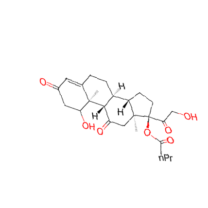 CCCC(=O)O[C@]1(C(=O)CO)CC[C@H]2[C@@H]3CCC4=CC(=O)CC(O)[C@]4(C)[C@H]3C(=O)C[C@@]21C